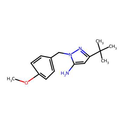 COc1ccc(Cn2nc(C(C)(C)C)cc2N)cc1